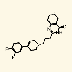 O=c1[nH]c(CCCN2CC=C(c3ccc(F)c(F)c3)CC2)nc2c1CSCC2